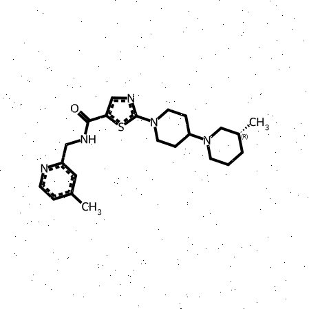 Cc1ccnc(CNC(=O)c2cnc(N3CCC(N4CCC[C@@H](C)C4)CC3)s2)c1